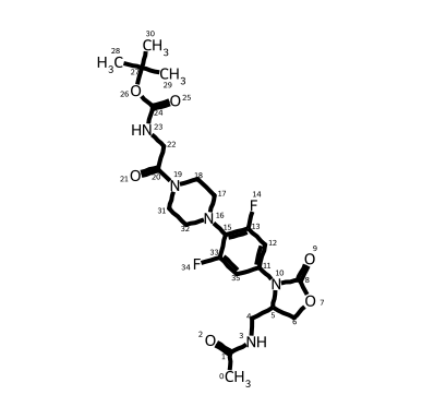 CC(=O)NCC1COC(=O)N1c1cc(F)c(N2CCN(C(=O)CNC(=O)OC(C)(C)C)CC2)c(F)c1